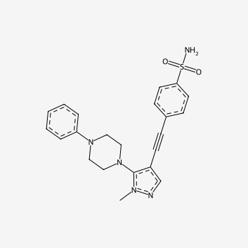 Cn1ncc(C#Cc2ccc(S(N)(=O)=O)cc2)c1N1CCN(c2ccccc2)CC1